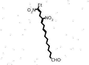 CC/C(=C/C/C(=C/C/C=C/CCCCCCC[C]=O)[N+](=O)[O-])[N+](=O)[O-]